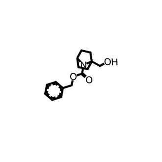 O=C(OCc1ccccc1)N1C2CCC1(CO)CC2